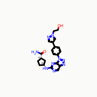 NC(=O)[C@H]1CC[C@@H](Nc2ncc3nnn(-c4ccc(-c5cnn(CCO)c5)cc4)c3n2)C1